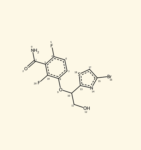 NC(=O)c1c(F)ccc(OC(CO)c2nc(Br)cs2)c1F